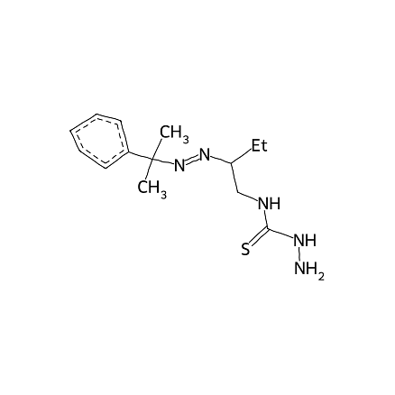 CCC(CNC(=S)NN)/N=N/C(C)(C)c1ccccc1